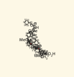 COc1ccc(CN(Cc2ccc(OC)cc2)S(=O)(=O)c2c(S(=O)(=O)NCC(CNC(=O)O)O[Si](C)(C)C(C)(C)C)ccc(N3CCN(C(=O)CCNC(=O)OCc4ccccc4)CC3)c2-c2nnn(Cc3ccc(OC)cc3)n2)cc1